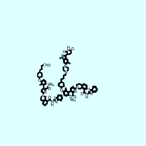 Cc1c(OC2CCC(CCCC=O)CC2)cccc1-c1ccc(N2CCc3cccc(C(=O)Nc4nc5ccccc5s4)c3C2)nc1C(=O)OC(C)(C)C.Cc1cc2c(C3CCC(=O)NC3=O)nn(C)c2cc1N1CCN(CCCCC2CCC(Oc3cccc(-c4ccc(N5CCc6cccc(C(=O)Nc7nc8ccccc8s7)c6C5)nc4C(=O)OC(C)(C)C)c3C)CC2)CC1